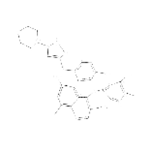 N#Cc1cnc2c(Cl)cc(N[C@H](C3=CN(C4CCOCC4)NN3)c3ccc(F)cc3)cc2c1Nc1cnc(F)c(F)c1